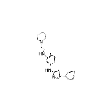 c1ccc(-n2cnc(Nc3ccnc(NCCN4CCCCC4)c3)n2)cc1